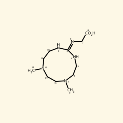 CN1CCNC(=NCC(=O)O)NCCN(C)CC1